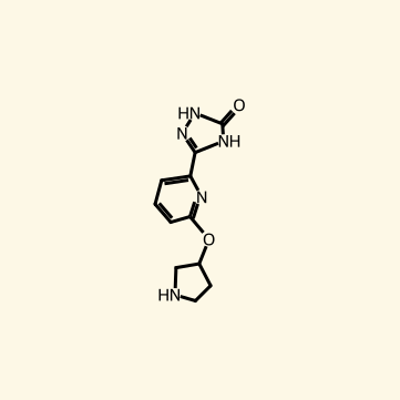 O=c1[nH]nc(-c2cccc(OC3CCNC3)n2)[nH]1